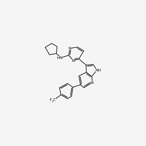 FC(F)(F)c1ccc(-c2cnc3[nH]cc(-c4ccnc(NC5CCCC5)n4)c3c2)cc1